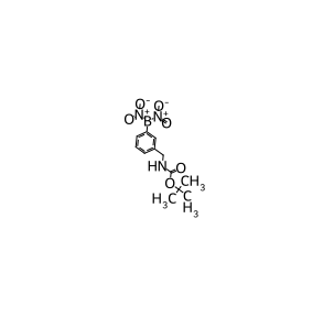 CC(C)(C)OC(=O)NCc1cccc(B([N+](=O)[O-])[N+](=O)[O-])c1